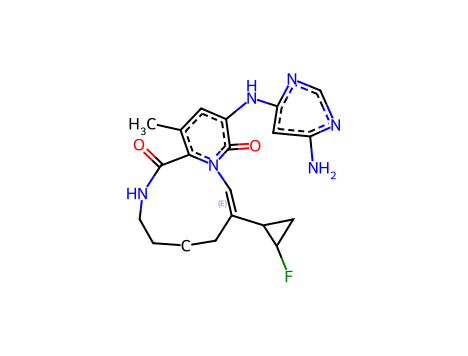 Cc1cc(Nc2cc(N)ncn2)c(=O)n2c1C(=O)NCCCC/C(C1CC1F)=C\2